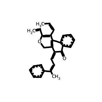 C=CC1=C(/C=C\C)C2=C(CO1)/C(=C/C=C(/C)c1ccccc1)C(=O)c1ccccc12